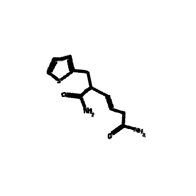 NC(=O)CC=CC(Cc1cccs1)C(N)=O